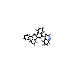 c1ccc2c(c1)-c1cccc3c1c-2cc1c2ccccc2c(-c2ccnc4ccccc24)cc31